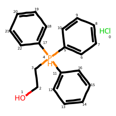 Cl.OCC[PH](c1ccccc1)(c1ccccc1)c1ccccc1